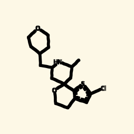 CC1CC2(CC(CC3CCOCC3)N1)OCCc1cc(Cl)sc12